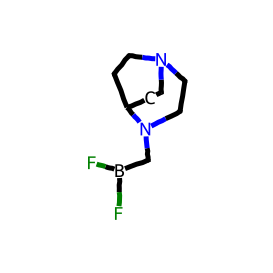 FB(F)CN1CCN2CCC1CC2